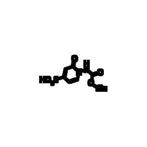 CC(C)(C)OC(=O)Nn1ccc(S(=O)(=O)O)cc1=O